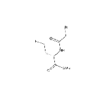 COC(=O)[C@H](CCI)NC(=O)CC(C)C